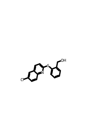 OCc1ccccc1Sc1ccc2cc(Cl)ccc2n1